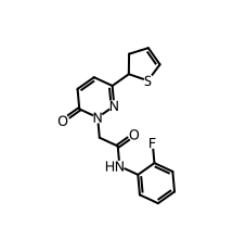 O=C(Cn1nc(C2CC=CS2)ccc1=O)Nc1ccccc1F